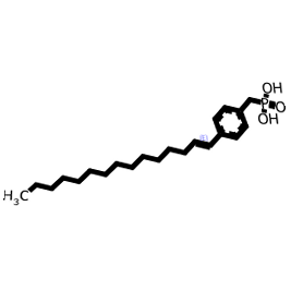 CCCCCCCCCCCCC/C=C/c1ccc(CP(=O)(O)O)cc1